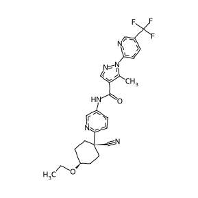 CCO[C@H]1CC[C@](C#N)(c2ccc(NC(=O)c3cnn(-c4ccc(C(F)(F)F)cn4)c3C)cn2)CC1